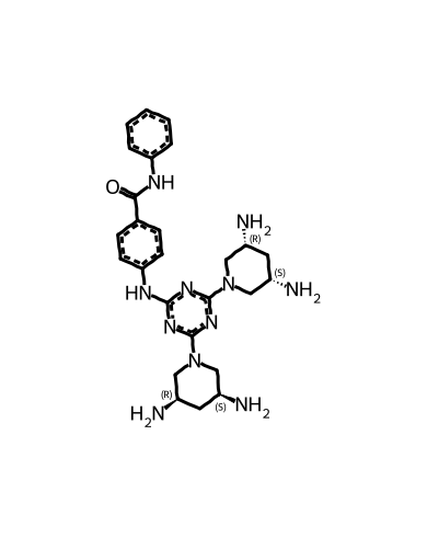 N[C@@H]1C[C@H](N)CN(c2nc(Nc3ccc(C(=O)Nc4ccccc4)cc3)nc(N3C[C@H](N)C[C@H](N)C3)n2)C1